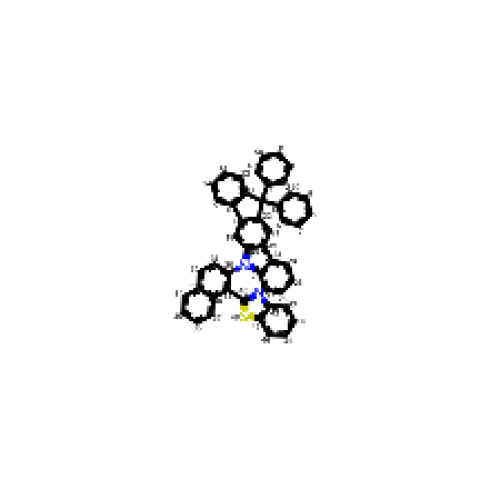 c1ccc(C2(c3ccccc3)c3ccccc3-c3cc4c(cc32)c2ccccc2n4-c2ccc3ccccc3c2-c2nc3ccccc3s2)cc1